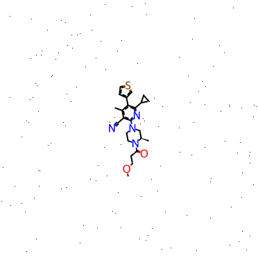 COCCC(=O)N1CCN(c2nc(C3CC3)c(-c3ccsc3)c(C)c2C#N)C[C@H]1C